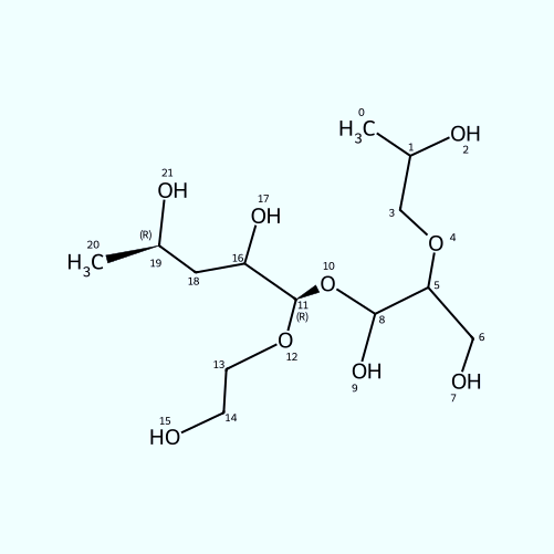 CC(O)COC(CO)C(O)O[C@@H](OCCO)C(O)C[C@@H](C)O